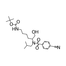 CC(C)CN(C(CO)CCCCNC(=O)OC(C)(C)C)S(=O)(=O)c1ccc(C#N)cc1